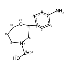 Nc1ccc(C2CN(C(=O)O)CCCO2)cc1